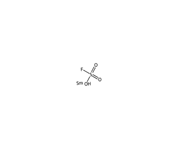 O=S(=O)(O)F.[Sm]